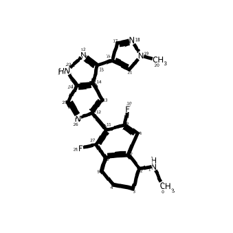 CNC1CCCc2c1cc(F)c(-c1cc3c(-c4cnn(C)c4)n[nH]c3cn1)c2F